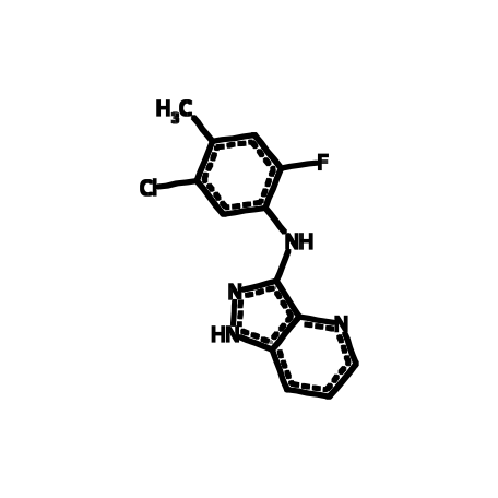 Cc1cc(F)c(Nc2n[nH]c3cccnc23)cc1Cl